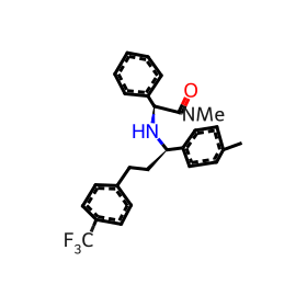 CNC(=O)[C@@H](N[C@H](CCc1ccc(C(F)(F)F)cc1)c1ccc(C)cc1)c1ccccc1